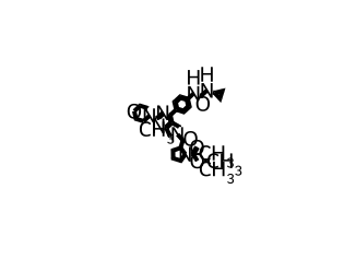 CC1COCCN1c1nc2c(c(-c3ccc(NC(=O)NC4CC4)cc3)n1)CN(C(=O)C1CCCN1C(=O)OC(C)(C)C)C2